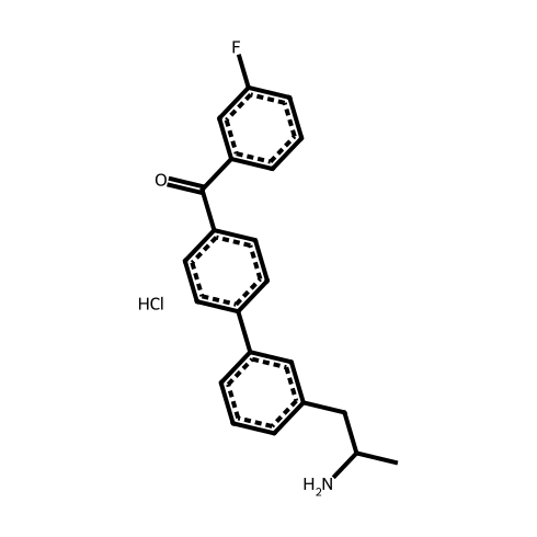 CC(N)Cc1cccc(-c2ccc(C(=O)c3cccc(F)c3)cc2)c1.Cl